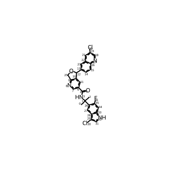 CC(C)(NC(=O)c1cnc2c(c1)C(c1ccc3ncc(Cl)cc3c1)OC2)c1cc2c(Cl)c[nH]c2cc1F